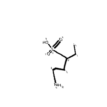 [CH2]CC(CCN)S(=O)(=O)O